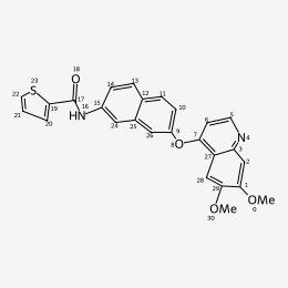 COc1cc2nccc(Oc3ccc4ccc(NC(=O)c5cccs5)cc4c3)c2cc1OC